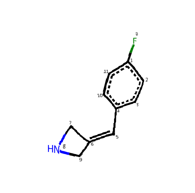 Fc1ccc(C=C2CNC2)cc1